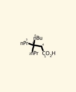 CCCCC(CCC)(CCC)CC(=O)O